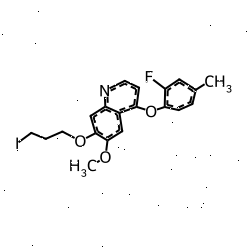 COc1cc2c(Oc3ccc(C)cc3F)ccnc2cc1OCCCI